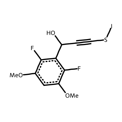 COc1cc(OC)c(F)c(C(O)C#CSI)c1F